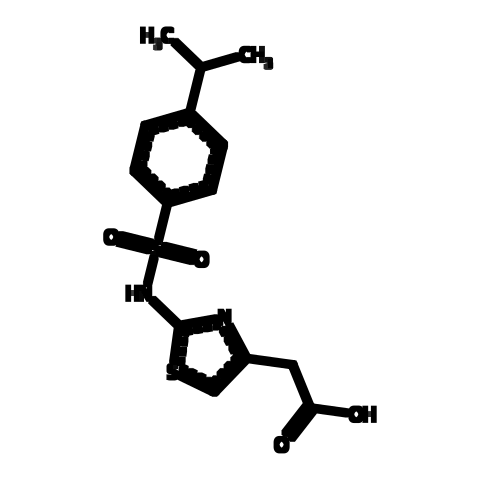 CC(C)c1ccc(S(=O)(=O)Nc2nc(CC(=O)O)cs2)cc1